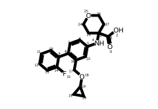 O=C(O)C1(Nc2ccc(-c3ccccc3F)c(COC3CC3)c2)CCOCC1